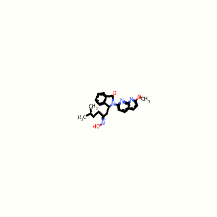 COc1ccc2ccc(N3C(=O)c4ccccc4C3C/C(CCC(C)C)=N/O)nc2n1